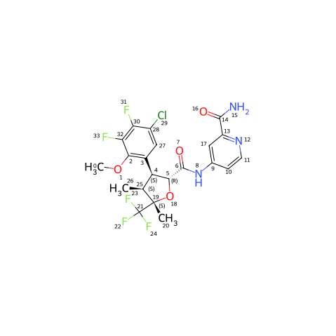 COc1c([C@H]2[C@H](C(=O)Nc3ccnc(C(N)=O)c3)O[C@](C)(C(F)(F)F)[C@H]2C)cc(Cl)c(F)c1F